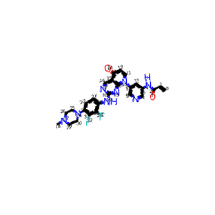 C=CC(=O)Nc1cncc(-n2ccc(=O)c3cnc(Nc4ccc(N5CCN(C)CC5)c(F)c4F)nc32)c1